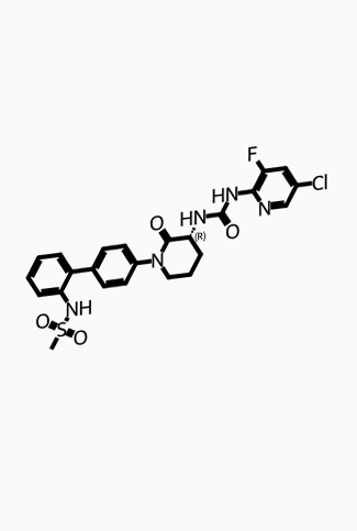 CS(=O)(=O)Nc1ccccc1-c1ccc(N2CCC[C@@H](NC(=O)Nc3ncc(Cl)cc3F)C2=O)cc1